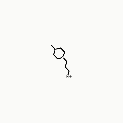 CN1CCN(CCC[NH])CC1